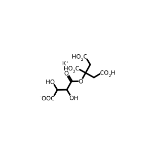 O=C(O)CC(CC(=O)O)(OC(=O)C(O)C(O)C(=O)[O-])C(=O)O.[K+]